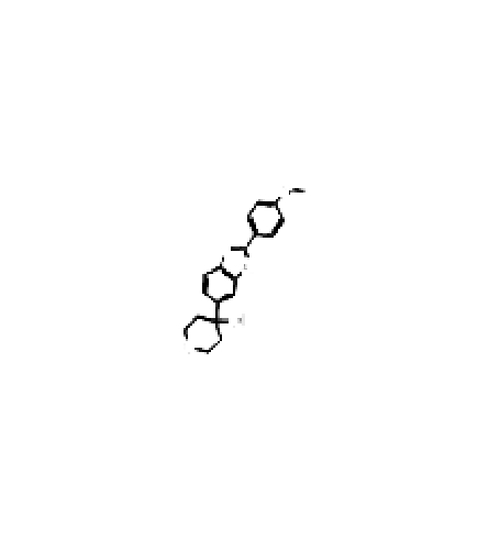 CSc1ccc(C2Oc3ccc(C4(O)CCOCC4)cc3O2)cc1